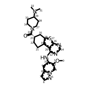 COc1cn2nccc2cc1Nc1ncnc2sc3c(c12)CC[C@H](C(=O)N1CCC(N(C)C)CC1)C3